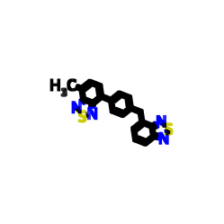 Cc1ccc(-c2ccc(Cc3cccc4nsnc34)cc2)c2nsnc12